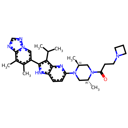 Cc1c(-c2[nH]c3ccc(N4C[C@@H](C)N(C(=O)CCN5CCC5)C[C@@H]4C)nc3c2C(C)C)cn2ncnc2c1C